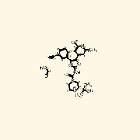 Cc1cc(-c2sc(NC(=O)N3CCN[C@@H](C(C)(C)O)C3)nc2-c2cccc(C#N)c2)cc(Cl)n1.O=CO